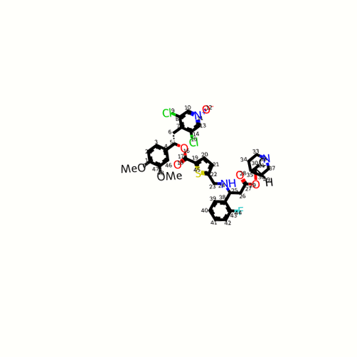 COc1ccc([C@H](Cc2c(Cl)c[n+]([O-])cc2Cl)OC(=O)c2ccc(CNC(CC(=O)O[C@H]3CN4CCC3CC4)c3ccccc3F)s2)cc1OC